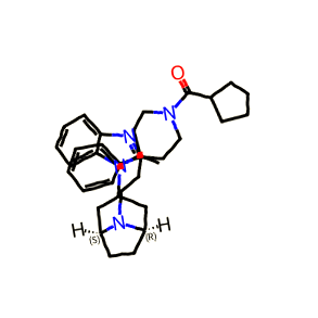 Cc1nc2ccccc2n1C1C[C@H]2CC[C@@H](C1)N2CCC1(c2ccccc2)CCN(C(=O)C2CCCC2)CC1